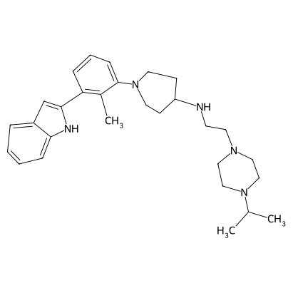 Cc1c(-c2cc3ccccc3[nH]2)cccc1N1CCC(NCCN2CCN(C(C)C)CC2)CC1